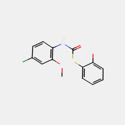 COc1cc(Cl)ccc1NC(=O)Sc1ccccc1O